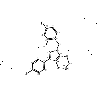 Fc1ccc(-c2nn(Cc3ccc(F)cc3F)c3c2CNCC3)cc1